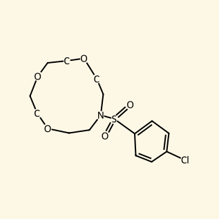 O=S(=O)(c1ccc(Cl)cc1)N1CCOCCOCCOCC1